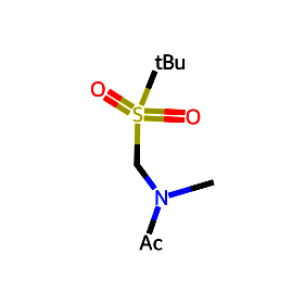 CC(=O)N(C)CS(=O)(=O)C(C)(C)C